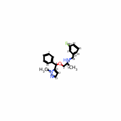 CC(COC(c1ccccc1)c1ccnn1C)NCc1cccc(F)c1